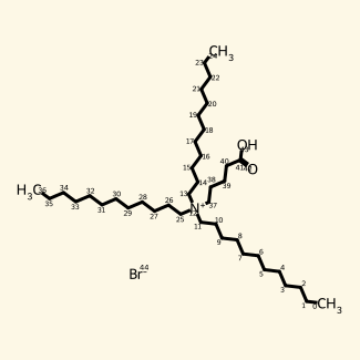 CCCCCCCCCCCC[N+](CCCCCCCCCCCC)(CCCCCCCCCCCC)CCCCC(=O)O.[Br-]